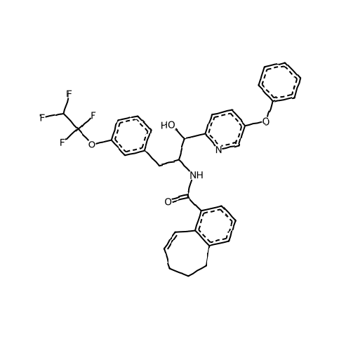 O=C(NC(Cc1cccc(OC(F)(F)C(F)F)c1)C(O)c1ccc(Oc2ccccc2)cn1)c1cccc2c1C=CCCC2